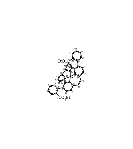 CCOC(=O)c1ccccc1-c1ccc2c(c1)C1(c3cc(-c4ccccc4C(=O)OCC)ccc3C=C2)c2ccccc2-c2ccccc21